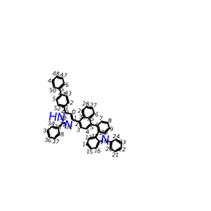 C1=C(c2ccc(-c3cccc4c3c3ccccc3n4-c3ccccc3)c3ccccc23)N=C(c2ccccc2)NC1c1ccc(-c2ccccc2)cc1